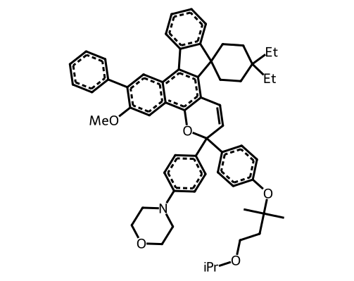 CCC1(CC)CCC2(CC1)c1ccccc1-c1c2c2c(c3cc(OC)c(-c4ccccc4)cc13)OC(c1ccc(OC(C)(C)CCOC(C)C)cc1)(c1ccc(N3CCOCC3)cc1)C=C2